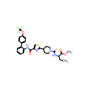 CCC(NC(=S)N1CCC(c2nc(C(=O)Nc3ccccc3-c3ccc(OC(F)(F)F)cc3)cs2)CC1)C(=O)OC